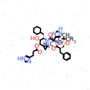 CC(C)(C)S(=O)(=O)C[C@@H](Cc1ccccc1)C(=O)N[C@](C)(C(=O)N[C@@H](CC1CCCCC1)[C@@H](O)[C@@H](OC(=O)CCc1c[nH]cn1)C1CC1)c1c[nH]cn1